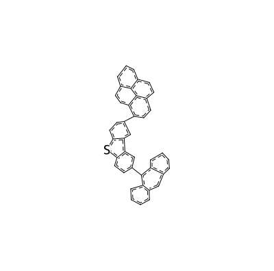 c1ccc2c(-c3ccc4sc5ccc(-c6ccc7ccc8cccc9ccc6c7c89)cc5c4c3)c3ccccc3cc2c1